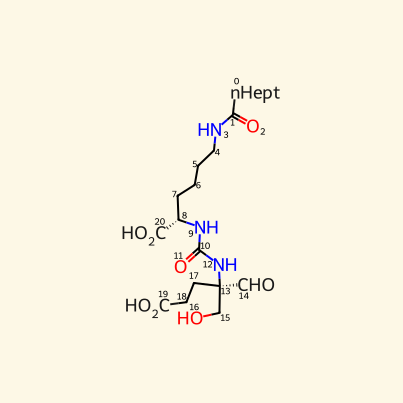 CCCCCCCC(=O)NCCCC[C@H](NC(=O)N[C@@](C=O)(CO)CCC(=O)O)C(=O)O